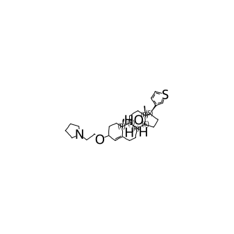 C[C@]12CCC(OCCN3CCCC3)C=C1CC[C@@H]1[C@@H]2CC[C@]2(C)[C@@H](c3ccsc3)CC[C@]12O